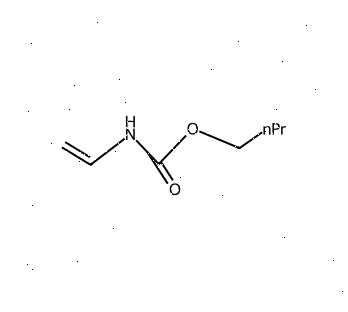 C=CNC(=O)OCCCC